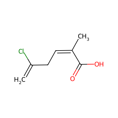 C=C(Cl)CC=C(C)C(=O)O